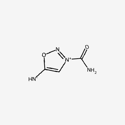 [NH-]c1c[n+](C(N)=O)no1